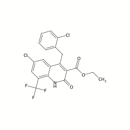 CCOC(=O)c1c(Cc2ccccc2Cl)c2cc(Cl)cc(C(F)(F)F)c2[nH]c1=O